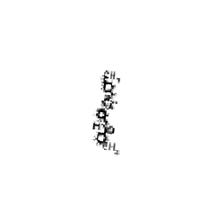 COc1ccc(CN2CCN(c3cccc(CNC(=O)c4cccc(C)c4)c3)CC2)cc1